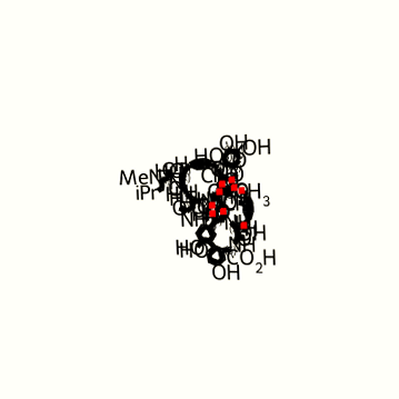 CN[C@H](CC(C)C)C(=O)N[C@H]1C(=O)N[C@@H](CC(N)=O)C(=O)N[C@H]2C(=O)N[C@H]3C(=O)N[C@H](C(=O)N[C@H](C(=O)O)c4cc(O)cc(O)c4-c4cc3ccc4O)[C@H](O)c3ccc(c(Cl)c3)Oc3cc2cc(c3O[C@@H]2O[C@H](CO)[C@@H](O)[C@H](O)[C@H]2O[C@H]2C[C@]3(C)NC(=O)O[C@@H]3[C@H](C)O2)Oc2ccc(cc2Cl)[C@H]1O